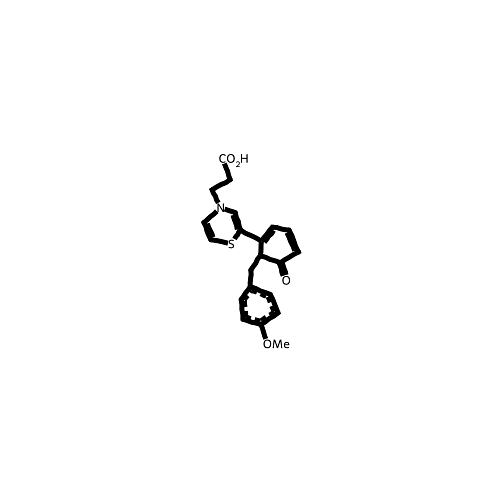 COc1ccc(CC2C(=O)C=CC=C2C2=CN(CCC(=O)O)C=CS2)cc1